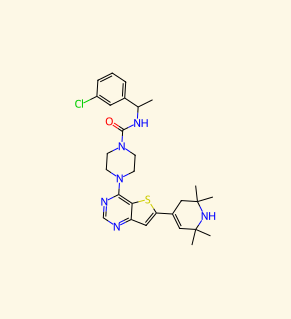 CC(NC(=O)N1CCN(c2ncnc3cc(C4=CC(C)(C)NC(C)(C)C4)sc23)CC1)c1cccc(Cl)c1